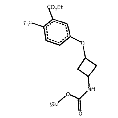 CCOC(=O)c1cc(OC2CC(NC(=O)OC(C)(C)C)C2)ccc1C(F)(F)F